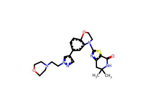 CC1(C)Cc2nc(N3CCOc4ccc(-c5cnn(CCN6CCOCC6)c5)cc43)sc2C(=O)N1